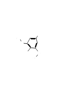 CCCOc1cc(C=O)cc(OCCC)c1I